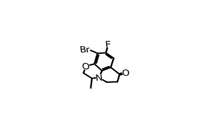 CC1COc2c(Br)c(F)cc3c2N1CCC3=O